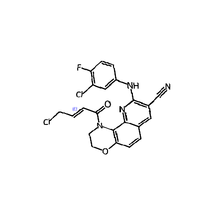 N#Cc1cc2ccc3c(c2nc1Nc1ccc(F)c(Cl)c1)N(C(=O)/C=C/CCl)CCO3